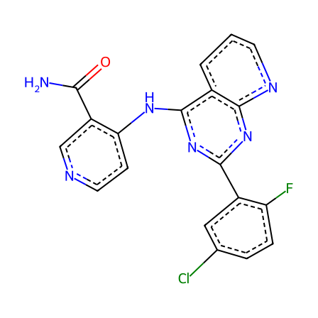 NC(=O)c1cnccc1Nc1nc(-c2cc(Cl)ccc2F)nc2ncccc12